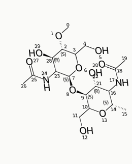 CO[C@@H]1C(CO)O[C@@H](O[C@@H]2C(CO)O[C@@H](C)C(NC(C)=O)[C@H]2O)C(NC(C)=O)[C@H]1O